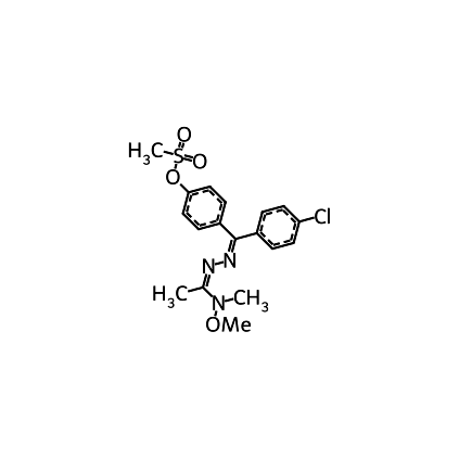 CON(C)C(C)=NN=C(c1ccc(Cl)cc1)c1ccc(OS(C)(=O)=O)cc1